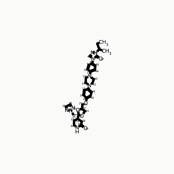 CCC(C)n1ncn(-c2ccc(N3CCN(c4ccc(OCC5CO[C@@](Cn6nccn6)(C6CCNC(=O)C6)O5)cc4)CC3)cc2)c1=O